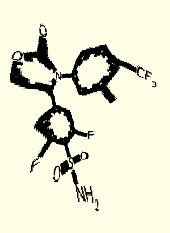 Cc1cc(-n2c(-c3cc(F)c(S(N)(=O)=O)c(F)c3)coc2=O)ccc1C(F)(F)F